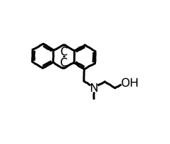 CN(CCO)Cc1cccc2c1C1CCC2c2ccccc21